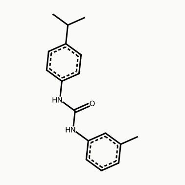 Cc1cccc(NC(=O)Nc2ccc(C(C)C)cc2)c1